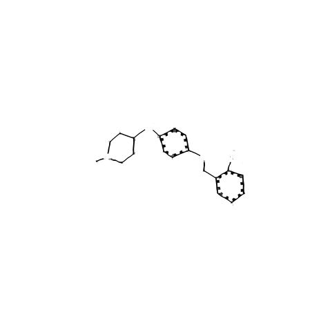 CN1CCC(Oc2ccc(OCc3ccccc3N)cc2)CC1